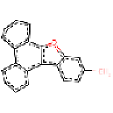 Bc1ccc2c(c1)oc1c3ccccc3c3ccccc3c21